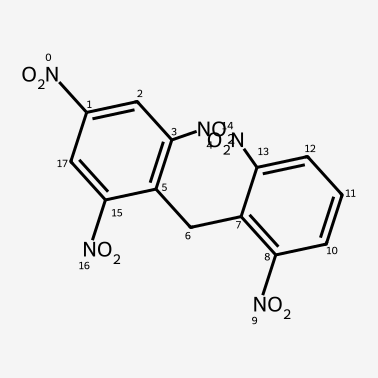 O=[N+]([O-])c1cc([N+](=O)[O-])c(Cc2c([N+](=O)[O-])cccc2[N+](=O)[O-])c([N+](=O)[O-])c1